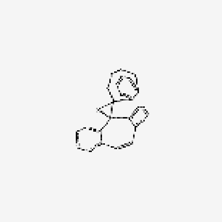 C1=Cc2ccccc2C2(SC23CCCCc2ccccc23)c2ccccc21